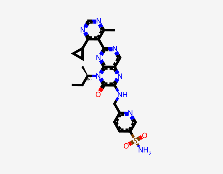 CC[C@@H](C)n1c(=O)c(NCc2ccc(S(N)(=O)=O)cn2)nc2cnc(-c3c(C)ncnc3C3CC3)nc21